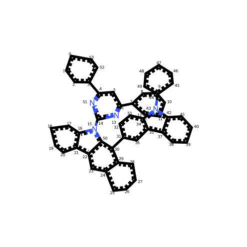 c1ccc(-c2cc(-c3ccccc3)nc(-n3c4ccccc4c4cc5ccccc5c(-c5ccc6c(c5)c5ccccc5n6-c5ccccc5)c43)n2)cc1